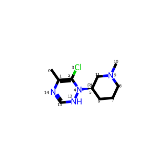 CC1=C(Cl)N([C@@H]2CCCN(C)C2)NC=N1